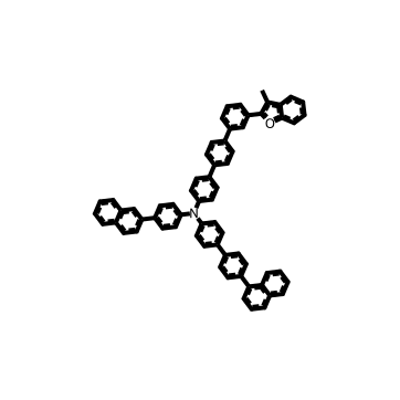 Cc1c(-c2cccc(-c3ccc(-c4ccc(N(c5ccc(-c6ccc(-c7cccc8ccccc78)cc6)cc5)c5ccc(-c6ccc7ccccc7c6)cc5)cc4)cc3)c2)oc2ccccc12